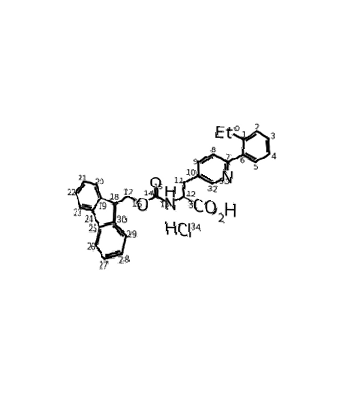 CCc1ccccc1-c1ccc(CC(NC(=O)OCC2c3ccccc3-c3ccccc32)C(=O)O)cn1.Cl